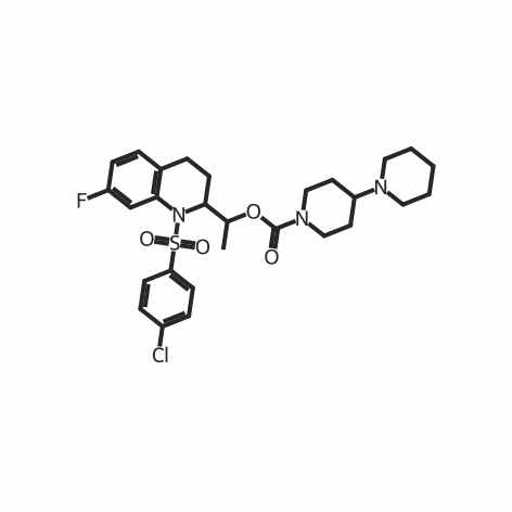 CC(OC(=O)N1CCC(N2CCCCC2)CC1)C1CCc2ccc(F)cc2N1S(=O)(=O)c1ccc(Cl)cc1